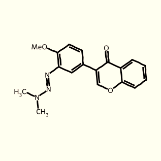 COc1ccc(-c2coc3ccccc3c2=O)cc1N=NN(C)C